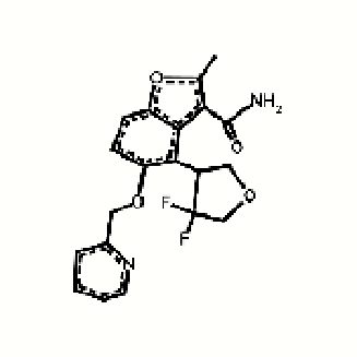 Cc1oc2ccc(OCc3ccccn3)c(C3COCC3(F)F)c2c1C(N)=O